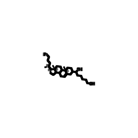 CC(C)CCC[C@@H](C)[C@H]1CCC2C3CC=C4CC(C(O)CCCCCO)CC[C@]4(C)C3CC[C@@]21C